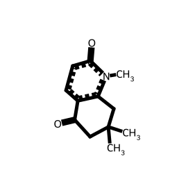 Cn1c2c(ccc1=O)C(=O)CC(C)(C)C2